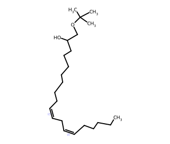 CCCCC/C=C\C/C=C\CCCCCCCC(O)COC(C)(C)C